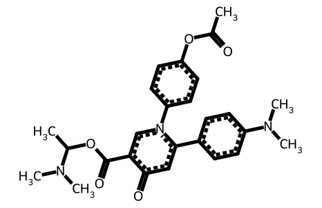 CC(=O)Oc1ccc(-n2cc(C(=O)OC(C)N(C)C)c(=O)cc2-c2ccc(N(C)C)cc2)cc1